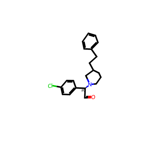 O=C[C@@H](c1ccc(Cl)cc1)N1CCCC(CCc2ccccc2)C1